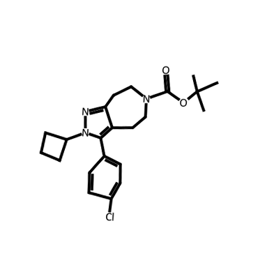 CC(C)(C)OC(=O)N1CCc2nn(C3CCC3)c(-c3ccc(Cl)cc3)c2CC1